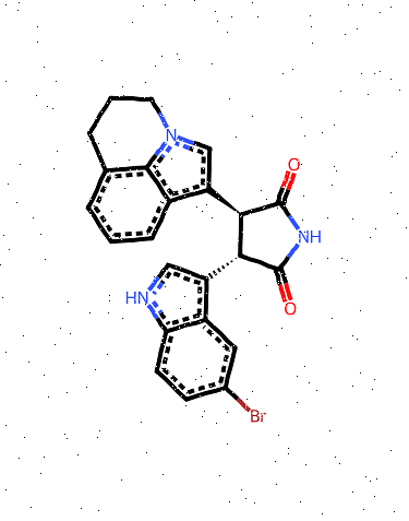 O=C1NC(=O)[C@H](c2cn3c4c(cccc24)CCC3)[C@H]1c1c[nH]c2ccc(Br)cc12